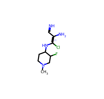 CN1CCC(N/C(Cl)=C(/N)C=N)C(F)C1